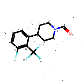 O=CN1CCC(c2cccc(F)c2C(F)(F)F)CC1